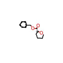 O=C(OCc1ccccc1)[C@H]1CCCCO1